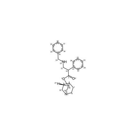 O=C(O[C@H]1CN2CCC1CC2)C(CNCc1ccccc1)c1ccccc1